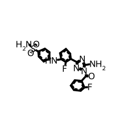 Nc1nc(-c2cccc(Nc3ccc(S(N)(=O)=O)cc3)c2F)nn1C(=O)c1ccccc1F